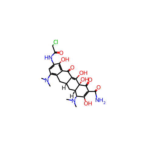 CN(C)c1cc(NC(=O)CCl)c(O)c2c1C[C@H]1C[C@H]3[C@H](N(C)C)C(O)=C(C(N)=O)C(=O)[C@@]3(O)C(O)=C1C2=O